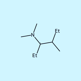 CC[C](C(C)CC)N(C)C